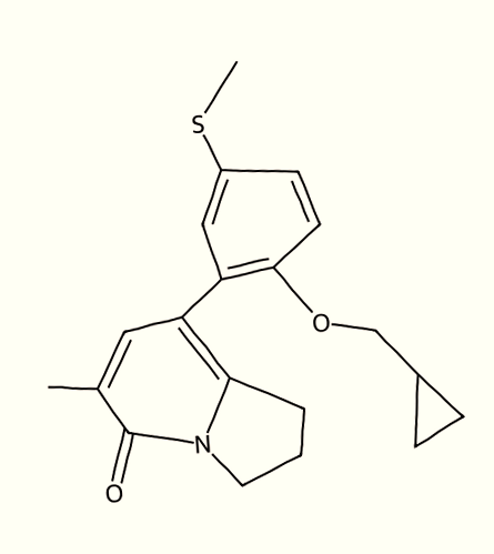 CSc1ccc(OCC2CC2)c(-c2cc(C)c(=O)n3c2CCC3)c1